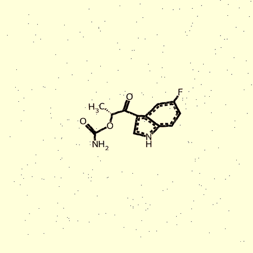 C[C@@H](OC(N)=O)C(=O)c1c[nH]c2ccc(F)cc12